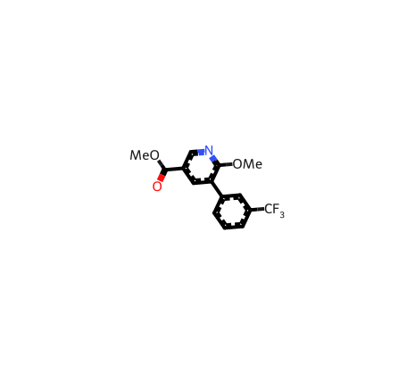 COC(=O)c1cnc(OC)c(-c2cccc(C(F)(F)F)c2)c1